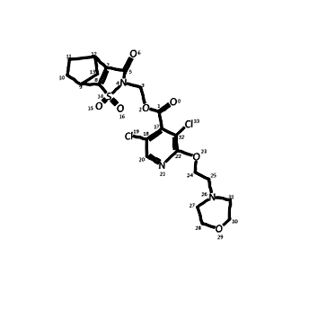 O=C(OCN1C(=O)C2=C(C3CCC2C3)S1(=O)=O)c1c(Cl)cnc(OCCN2CCOCC2)c1Cl